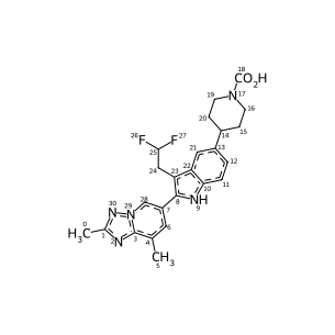 Cc1nc2c(C)cc(-c3[nH]c4ccc(C5CCN(C(=O)O)CC5)cc4c3CC(F)F)cn2n1